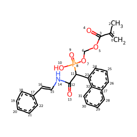 C=C(C)C(=O)OCOP(=O)(O)C(C(=O)N/C=C/c1ccccc1)c1cccc2ccccc12